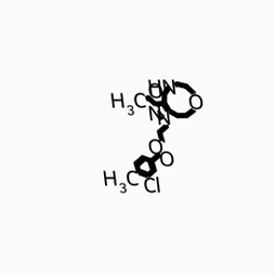 CCc1nn(CCCOC(=O)c2ccc(C)c(Cl)c2)c2c1C(=O)NCCCOCCC2